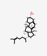 CC(C)=CCCC(C)[C@H]1CC[C@H]2C3=CC=C4C[C@@H](O)CC[C@]4(C)[C@H]3CC[C@]12C